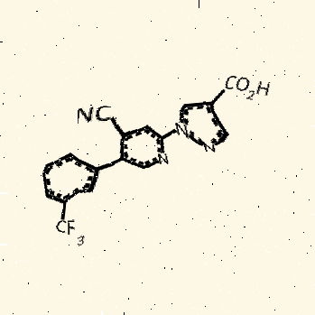 N#Cc1cc(-n2cc(C(=O)O)cn2)ncc1-c1cccc(C(F)(F)F)c1